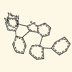 c1ccc(-c2ccccc2-c2cccc3[se]c(-c4ccnnn4)c(-c4ccccc4-c4ccccc4)c23)cc1